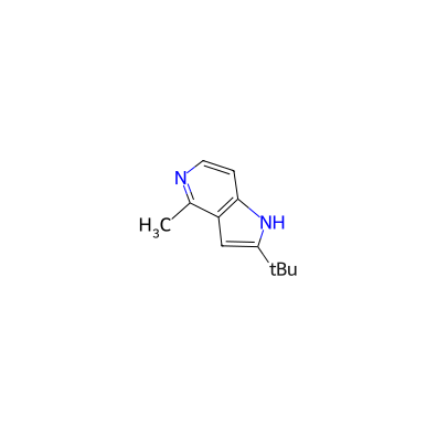 Cc1nccc2[nH]c(C(C)(C)C)cc12